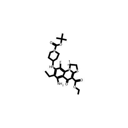 CCOC(=O)c1c2n(c3c(F)c(NC4CCN(C(=O)OC(C)(C)C)CC4)c(CC)c(N)c3c1=O)[C@H](C)CS2